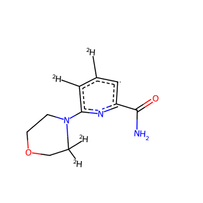 [2H]c1[c]c(C(N)=O)nc(N2CCOCC2([2H])[2H])c1[2H]